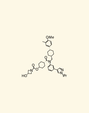 COc1ccc([C@H]2CC[C@H](CN(c3cccc(-c4cnn(C(C)C)c4)c3)C(=O)[C@H]3CC[C@H](OC(=O)N4CC(O)C4)CC3)CC2)cc1C